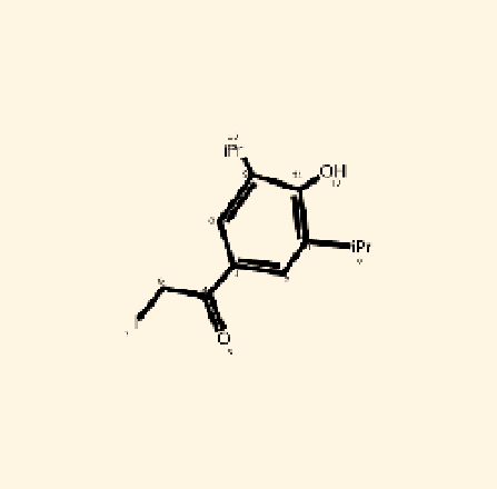 CC(C)c1cc(C(=O)CI)cc(C(C)C)c1O